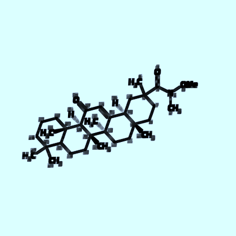 CON(C)C(=O)C1(C)CC[C@]2(C)CC[C@]3(C)C(=CC(=O)[C@@H]4[C@@]5(C)CCCC(C)(C)C5CC[C@]43C)[C@H]2C1